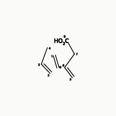 C=C.C=CC.C=CCC(=O)O